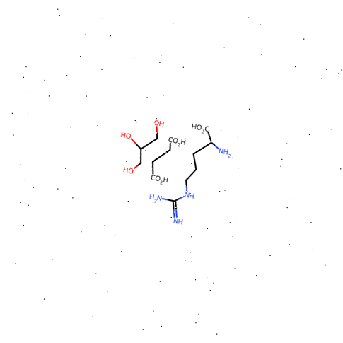 N=C(N)NCCCC(N)C(=O)O.O=C(O)CCC(=O)O.OCC(O)CO